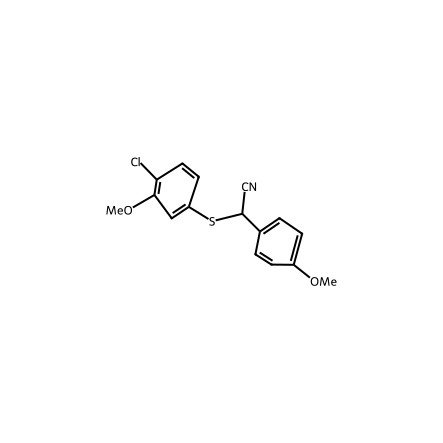 COc1ccc(C(C#N)Sc2ccc(Cl)c(OC)c2)cc1